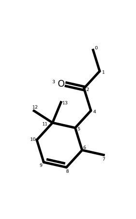 CCC(=O)CC1C(C)C=CCC1(C)C